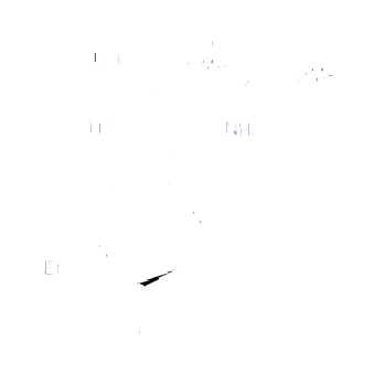 CCNC(=O)[C@@H]1CCCN1C(=O)[C@@H](NC(=O)OC)C(C)(C)OC